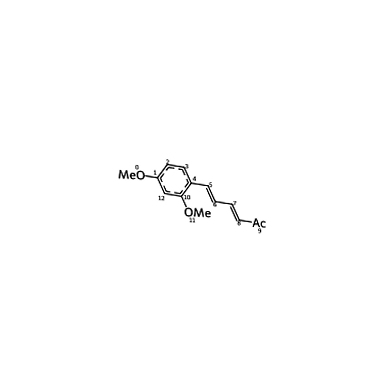 COc1ccc(C=CC=CC(C)=O)c(OC)c1